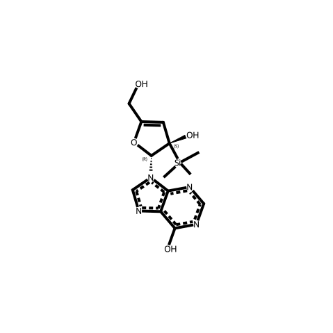 C[Si](C)(C)[C@@]1(O)C=C(CO)O[C@H]1n1cnc2c(O)ncnc21